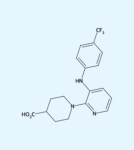 O=C(O)C1CCN(c2ncccc2Nc2ccc(C(F)(F)F)cc2)CC1